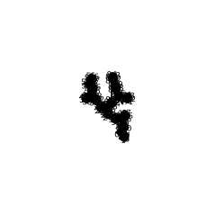 CC1(C)c2ccccc2-c2ccc(-n3c4ccccc4c4cc(-c5ccc6c7ccc(-c8ccc9c(c8)c8ccccc8n9-c8ccc9c(c8)C(C)(C)c8ccccc8-9)cc7n(-c7ccc(-c8nc(-c9ccccc9)cc(-c9ccc(-c%10ccccc%10)cc9)n8)cc7)c6c5)ccc43)cc21